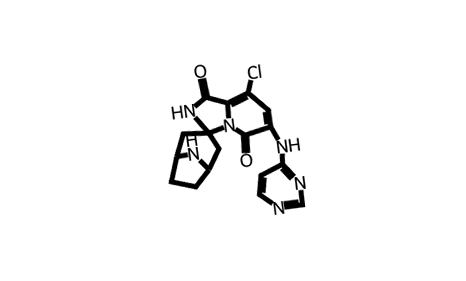 O=C1NC2(CC3CCC(C2)N3)n2c1c(Cl)cc(Nc1ccncn1)c2=O